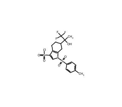 Cc1ccc(S(=O)(=O)n2cc(S(=O)(=O)Cl)c3c2CC(C(C)(O)C(F)(F)F)CC3)cc1